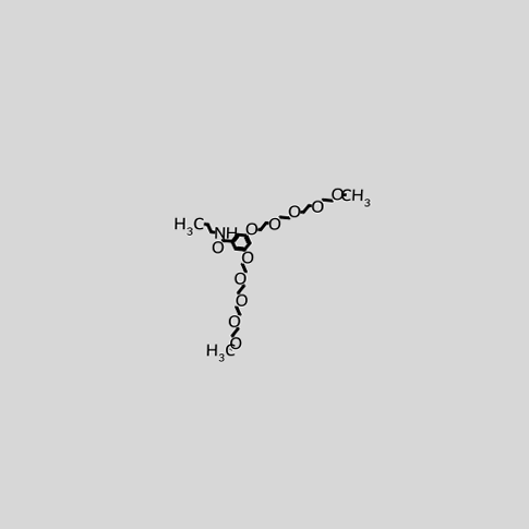 CCCNC(=O)c1cc(OCCOCCOCCOCCOC)cc(OCCOCCOCCOCCOC)c1